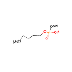 CNCCCCOP(=O)(O)OC